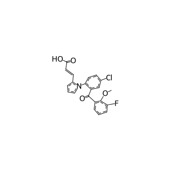 COc1c(F)cccc1C(=O)c1cc(Cl)ccc1-n1cccc1C=CC(=O)O